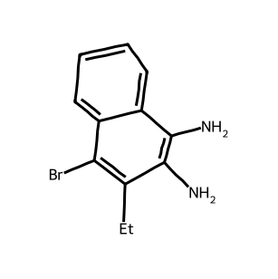 CCc1c(N)c(N)c2ccccc2c1Br